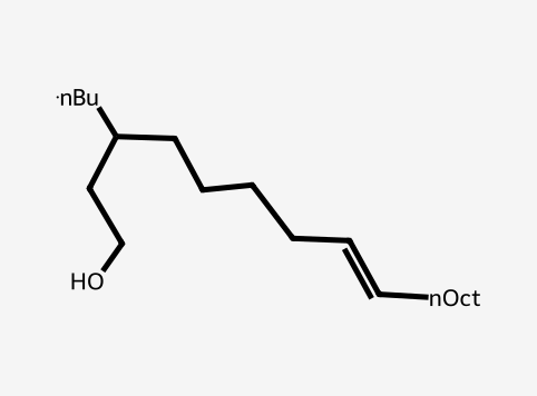 CCC[CH]C(CCO)CCCCC=CCCCCCCCC